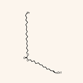 CCCCCCCCC=CCCCCCCCCCCCCOC(=O)OCCCCCCCCCCCCCCCCCC(C)C